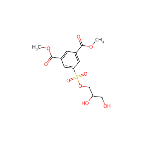 COC(=O)c1cc(C(=O)OC)cc(S(=O)(=O)OCC(O)CO)c1